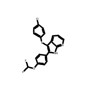 FC(F)Oc1ccc(-c2[nH]c3ncccc3c2Sc2ccc(Cl)cc2)cc1